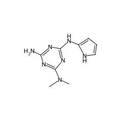 CN(C)c1nc(N)nc(Nc2ccc[nH]2)n1